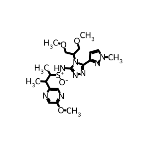 COCC(COC)n1c(N[S+]([O-])C(C)C(C)c2cnc(OC)cn2)nnc1-c1ccn(C)n1